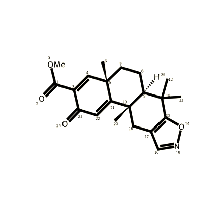 COC(=O)C1=C[C@]2(C)CC[C@H]3C(C)(C)c4oncc4C[C@]3(C)C2=CC1=O